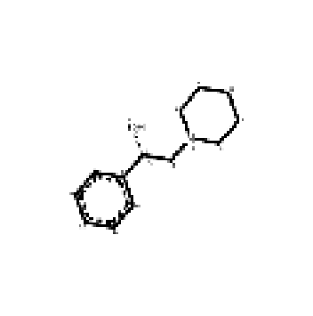 O[C@H](CN1CCCCC1)c1ccccc1